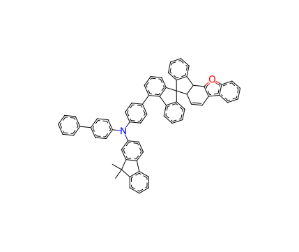 CC1(C)c2ccccc2-c2ccc(N(c3ccc(-c4ccccc4)cc3)c3ccc(-c4cccc5c4-c4ccccc4C54c5ccccc5C5c6oc7ccccc7c6C=CC54)cc3)cc21